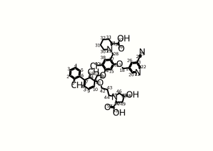 Cc1ccccc1C1=CC=CC(COc2cc(OCc3cncc(C#N)c3)c(CN3CCCC[C@H]3C(=O)O)cc2Cl)(OCCCN2C[C@H](O)C[C@H]2C(=O)O)C1C